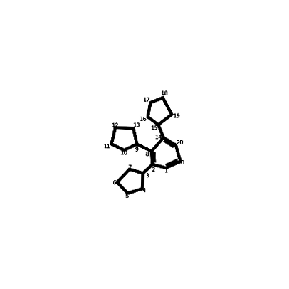 [c]1cc(C2CCCC2)c(C2CCCC2)c(C2CCCC2)c1